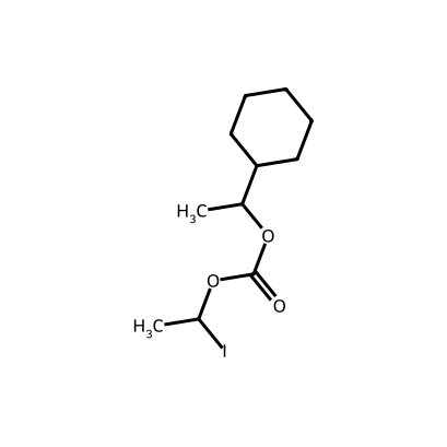 CC(I)OC(=O)OC(C)C1CCCCC1